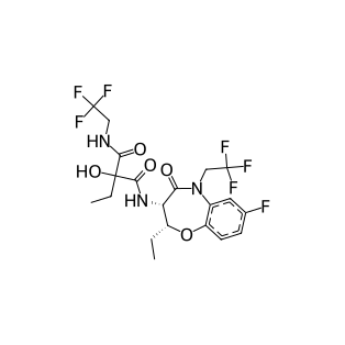 CC[C@H]1Oc2ccc(F)cc2N(CC(F)(F)F)C(=O)[C@H]1NC(=O)C(O)(CC)C(=O)NCC(F)(F)F